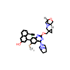 C#Cc1cccc2cc(O)cc(-c3c(SC(F)(F)F)cc4c(N5CC6CCC(C5)N6)nc(OCC5(CN6C[C@H]7C[C@@H]6CO7)CC5)nc4c3F)c12